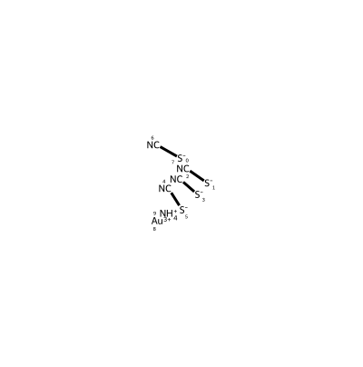 N#C[S-].N#C[S-].N#C[S-].N#C[S-].[Au+3].[NH4+]